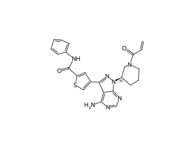 C=CC(=O)N1CCC[C@@H](n2nc(-c3csc(C(=O)Nc4ccccc4)c3)c3c(N)ncnc32)C1